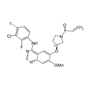 C=CC(=O)N1CC[C@H](Oc2cc3c(Nc4ccc(F)c(Cl)c4F)ncnc3cc2OC)C1